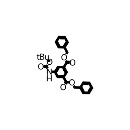 CC(C)(C)OC(=O)Nc1cc(C(=O)OCc2ccccc2)cc(C(=O)OCc2ccccc2)c1